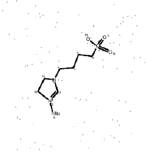 CCCC[N+]1=CN(CCCCS(=O)(=O)[O-])CC1